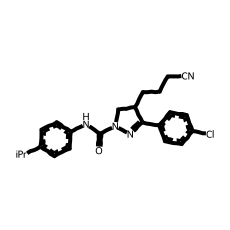 CC(C)c1ccc(NC(=O)N2CC(CCCC#N)C(c3ccc(Cl)cc3)=N2)cc1